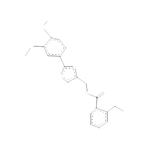 CCc1ccccc1C(=O)NCc1coc(-c2ccc(OC)c(OC)c2)n1